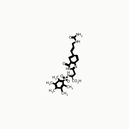 Cc1c(C)c(C)c(S(=O)(=O)N[C@@H](Cc2nc3ccc(C=CCNC(N)=O)cc3c(=O)[nH]2)C(=O)O)c(C)c1C